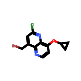 Clc1cc(CBr)c2nccc(OC3CC3)c2n1